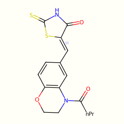 CCCC(=O)N1CCOc2ccc(/C=C3\SC(=S)NC3=O)cc21